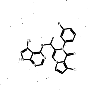 CC(Nc1ncnc2[nH]cc(C#N)c12)c1cn2ccc(Cl)c2c(=O)n1-c1cccc(F)c1